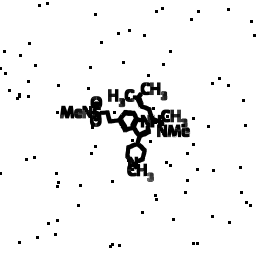 CNC(C)CCC=C(C)C.CNS(=O)(=O)CCc1ccc2[nH]cc(C3CCN(C)CC3)c2c1